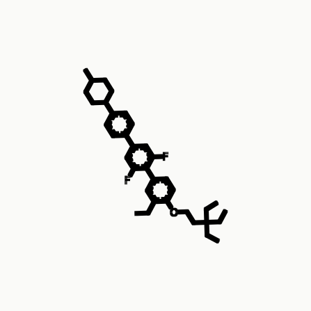 CCc1cc(-c2c(F)cc(-c3ccc(C4CCC(C)CC4)cc3)cc2F)ccc1OCCC(CC)(CC)CC